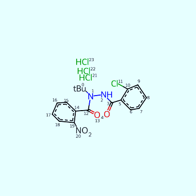 CC(C)(C)N(NC(=O)c1ccccc1Cl)C(=O)c1ccccc1[N+](=O)[O-].Cl.Cl.Cl